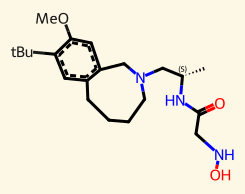 COc1cc2c(cc1C(C)(C)C)CCCCN(C[C@H](C)NC(=O)CNO)C2